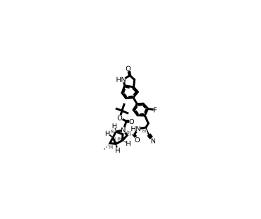 C[C@H]1[C@H]2[C@H]3C[C@@H]([C@@H]12)N(C(=O)OC(C)(C)C)[C@@H]3C(=O)N[C@H](C#N)Cc1ccc(-c2ccc3c(c2)CC(=O)N3)cc1F